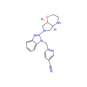 N#Cc1ccc(Cn2c(N3C[C@@H]4NCCO[C@@H]4C3)nc3ccccc32)nc1